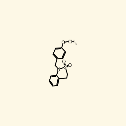 COc1ccc(CN2c3ccccc3CCS2(=O)=O)cc1